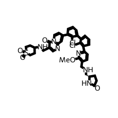 COc1nc(-c2cccc(-c3cccc(-c4ccn5c(=O)c(CNC6CCS(=O)(=O)CC6)cnc5c4)c3Cl)c2Cl)ccc1CNC[C@@H]1CCC(=O)N1